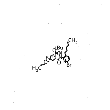 C=CCCCCc1ccc(Br)nc1NC(=O)[C@@H]1C[C@](F)(COCC=C)CN1C(=O)OC(C)(C)C